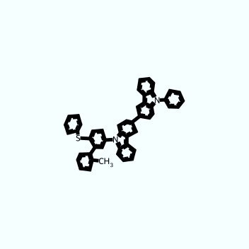 Cc1ccccc1-c1cc(-n2c3ccccc3c3cc(-c4ccc5c(c4)c4ccccc4n5-c4ccccc4)ccc32)ccc1Sc1ccccc1